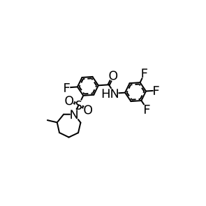 CC1CCCCN(S(=O)(=O)c2cc(C(=O)Nc3cc(F)c(F)c(F)c3)ccc2F)C1